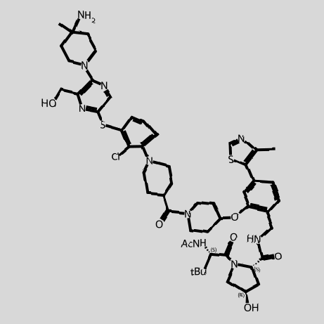 CC(=O)N[C@H](C(=O)N1C[C@H](O)C[C@H]1C(=O)NCc1ccc(-c2scnc2C)cc1OC1CCN(C(=O)C2CCN(c3cccc(Sc4cnc(N5CCC(C)(N)CC5)c(CO)n4)c3Cl)CC2)CC1)C(C)(C)C